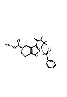 CN(C(=O)c1noc2c1CN(C(=O)OC(C)(C)C)CC2)C1(COC(=O)c2ccccc2)CC1